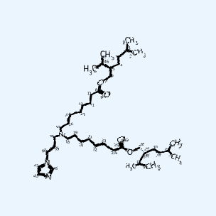 CC(C)CCC(COC(=O)CCCCCCCN(CCCCCCCC(=O)OC[C@H](CCC(C)C)C(C)C)CCCn1ccnc1)C(C)C